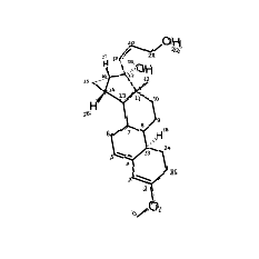 COC1=CC2=CCC3C(CCC4(C)C3[C@@H]3C[C@@H]3[C@@]4(O)/C=C\CO)[C@H]2CC1